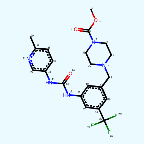 COC(=O)N1CCN(Cc2cc(NC(=O)Nc3ccc(C)nc3)cc(C(F)(F)F)c2)CC1